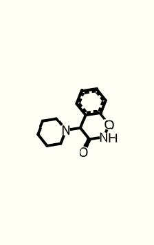 O=C1NOc2ccccc2C1N1CCCCC1